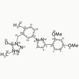 COc1ccc(-c2ccn(-c3ccc(C)c(Cn4nnn(C)c4=O)c3)n2)c(OC)c1